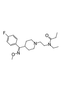 CCC(=O)N(CC)CCN1CCC(/C(=N/OC)c2ccc(F)cc2)CC1